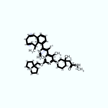 C/C=N\C(=C(\F)c1nc(OCC23CCCN2CCC3)nc(N2CCCC(C)(CC(=O)NC)C2)c1C)c1cccc2c1C(C)/C=C/C/C=C\2